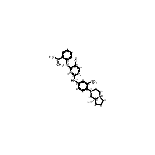 CP(C)c1ccccc1Nc1nc(Nc2ccc(N3CCN4CCC[C@H]4C3)c([N+](=O)[O-])c2)ncc1Cl